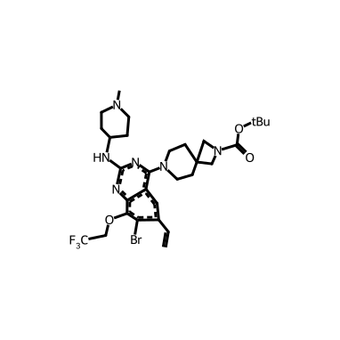 C=Cc1cc2c(N3CCC4(CC3)CN(C(=O)OC(C)(C)C)C4)nc(NC3CCN(C)CC3)nc2c(OCC(F)(F)F)c1Br